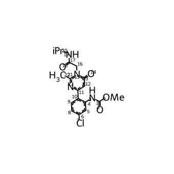 COC(=O)Nc1cc(Cl)ccc1-c1cc(=O)n(CC(=O)NC(C)C)c(C)n1